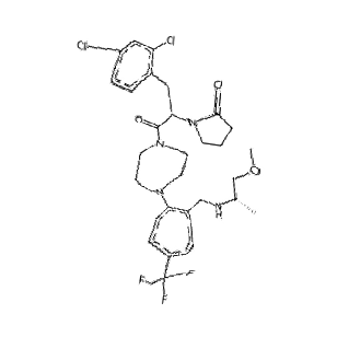 COC[C@H](C)NCc1cc(C(F)(F)F)ccc1N1CCN(C(=O)C(Cc2ccc(Cl)cc2Cl)N2CCCC2=O)CC1